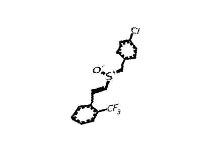 [O-][S+](C=Cc1ccccc1C(F)(F)F)Cc1ccc(Cl)cc1